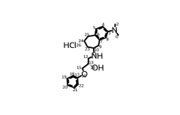 CN(C)c1ccc2c(c1)CC(NC[C@H](O)COc1ccccc1)CCC2.Cl